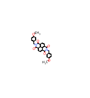 COc1ccc(CN2C(=O)c3ccc4c5c(ccc(c35)C2=O)C(=O)N(Cc2ccc(OC)cc2)C4=O)cc1